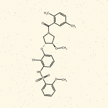 COc1ccccc1S(=O)(=O)Nc1cccc(O[C@@H]2CN(C(=O)c3cc(C)ccc3C)C[C@H]2OC)c1Cl